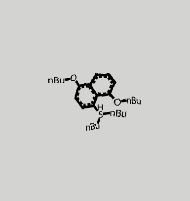 CCCCOc1ccc([SH](CCCC)CCCC)c2c(OCCCC)cccc12